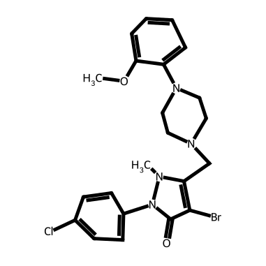 COc1ccccc1N1CCN(Cc2c(Br)c(=O)n(-c3ccc(Cl)cc3)n2C)CC1